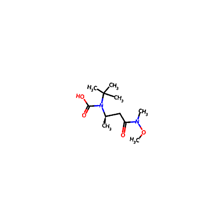 CON(C)C(=O)C[C@@H](C)N(C(=O)O)C(C)(C)C